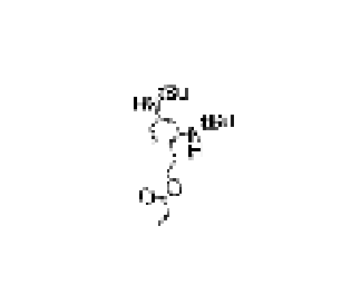 C=CC(=O)OCCc1ccc(NC(C)(C)C)cc1NC(C)(C)C